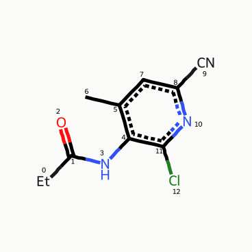 CCC(=O)Nc1c(C)cc(C#N)nc1Cl